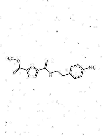 COC(=O)c1ccc(C(=O)NCCc2ccc(N)cc2)s1